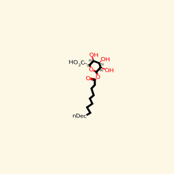 CCCCCCCCCCCCCCCCCC(=O)OC1O[C@H](C(=O)O)[C@@H](O)[C@H](O)[C@H]1O